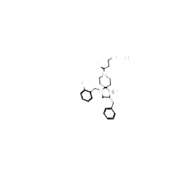 O=C(O)CCC(=O)N1CCC2(CC1)NC(Cc1ccccc1)C(=O)N2Cc1ccccc1F